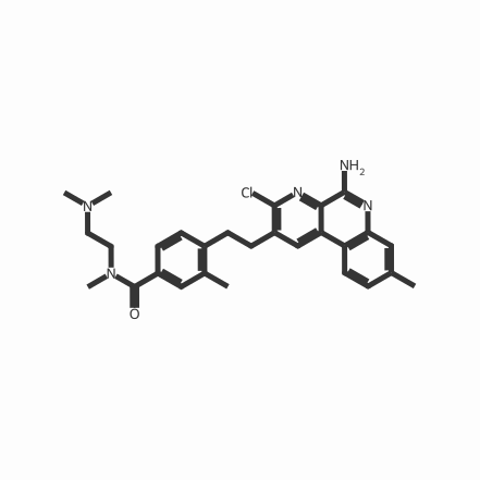 Cc1ccc2c(c1)nc(N)c1nc(Cl)c(CCc3ccc(C(=O)N(C)CCN(C)C)cc3C)cc12